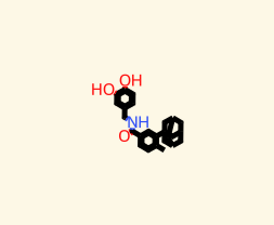 Cc1ccc(C(=O)NCc2ccc(O)c(O)c2)cc1C12CC3CC(CC(C3)C1)C2